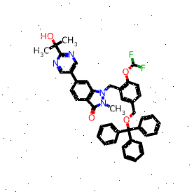 Cn1c(=O)c2ccc(-c3cnc(C(C)(C)O)nc3)cc2n1Cc1cc(COC(c2ccccc2)(c2ccccc2)c2ccccc2)ccc1OC(F)F